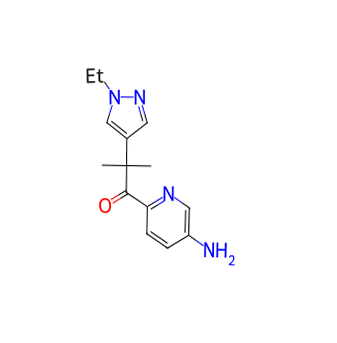 CCn1cc(C(C)(C)C(=O)c2ccc(N)cn2)cn1